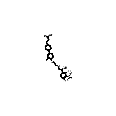 Cc1cc(-c2ccc(CCC(=O)O)cc2)ccc1OCCNCC(O)c1ccc(O)c(S(C)(=O)=O)c1N